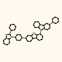 c1ccc(-c2ccc3c(c2)c2ccccc2n3-c2cccc3c2oc2cc(-c4ccc(-n5c(-c6ccccc6)nc6ccccc65)cc4)ccc23)cc1